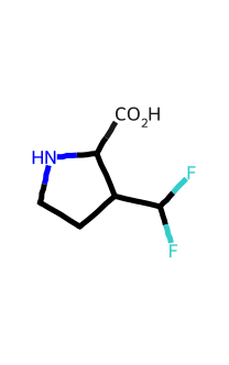 O=C(O)C1NCCC1C(F)F